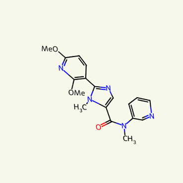 COc1ccc(-c2ncc(C(=O)N(C)c3cccnc3)n2C)c(OC)n1